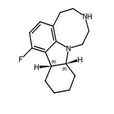 Fc1ccc2c3c1[C@H]1CCCC[C@H]1N3CCNCC2